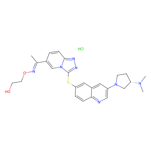 CC(=NOCCO)c1ccc2nnc(Sc3ccc4ncc(N5CC[C@H](N(C)C)C5)cc4c3)n2c1.Cl